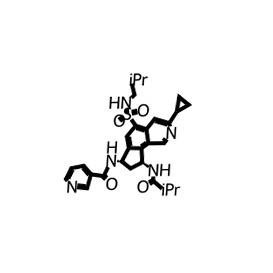 CC(C)CNS(=O)(=O)c1cc2c(c3cnc(C4CC4)cc13)[C@@H](NC(=O)C(C)C)C[C@@H]2NC(=O)c1cccnc1